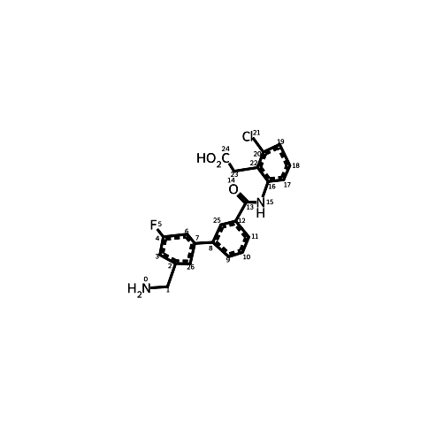 NCc1cc(F)cc(-c2cccc(C(=O)Nc3cccc(Cl)c3CC(=O)O)c2)c1